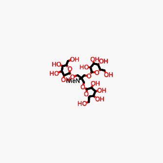 CNC(COC1OC(CO)C(O)C(O)C1O)(COC1OC(CO)C(O)C(O)C1O)COC1OC(CO)C(O)C(O)C1O